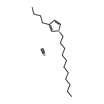 C#N.CCCCCCCCCCCn1ccc(CCCC)c1